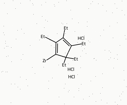 CCC1=[C]([Zr])C(CC)(CC)C(CC)=C1CC.Cl.Cl.Cl